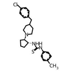 Cc1ccc(NC(=S)N[C@@H]2CCC[C@H]2N2CCC(Cc3ccc(Cl)cc3)CC2)cc1